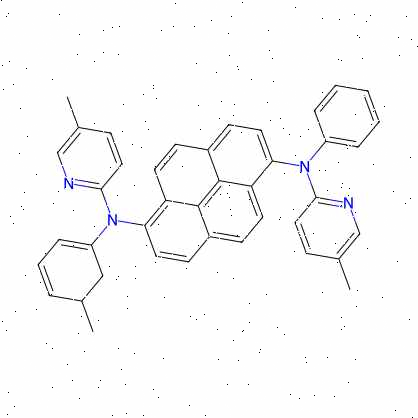 Cc1ccc(N(C2=CC=CC(C)C2)c2ccc3ccc4c(N(c5ccccc5)c5ccc(C)cn5)ccc5ccc2c3c54)nc1